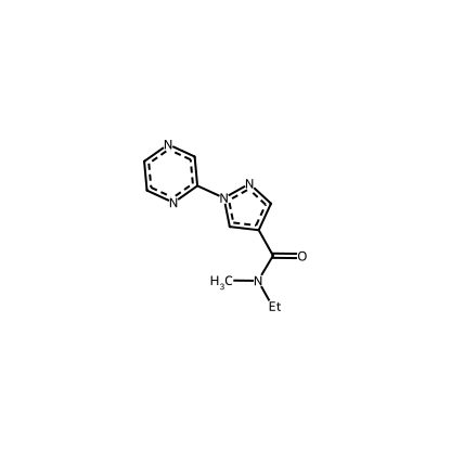 CCN(C)C(=O)c1cnn(-c2cnccn2)c1